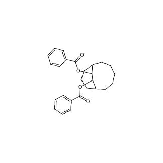 O=C(OC1C2CCCCCC(CCC2)C1OC(=O)c1ccccc1)c1ccccc1